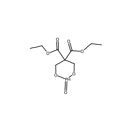 CCOC(=O)C1(C(=O)OCC)CO[PH](=O)OC1